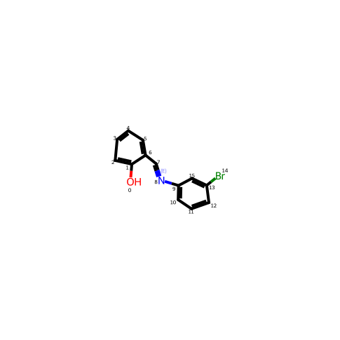 Oc1ccccc1/C=N/c1cccc(Br)c1